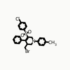 Cc1ccc(N2CC(S(=O)(=O)c3ccc(Cl)cc3)=C(c3ccccc3)C(CBr)C2)cc1